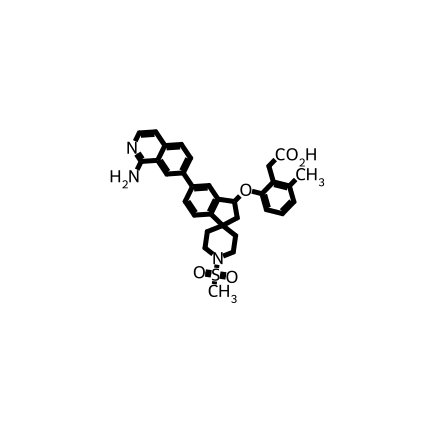 Cc1cccc(OC2CC3(CCN(S(C)(=O)=O)CC3)c3ccc(-c4ccc5ccnc(N)c5c4)cc32)c1CC(=O)O